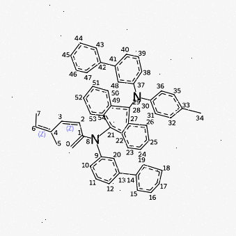 C=C(/C=C\C(C)=C/C)N(c1cccc(-c2ccccc2)c1)c1c2ccccc2c(N(c2ccc(C)cc2)c2cccc(-c3ccccc3)c2)c2ccccc12